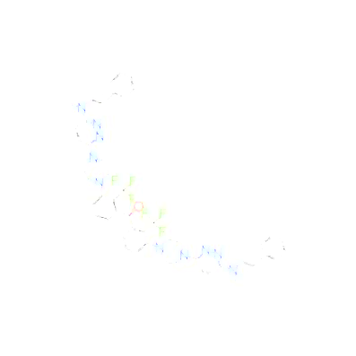 CN(C=Cc1ccccc1)c1ccc(N2CCN(c3cccc(C(=O)c4cccc(N5CCN(c6ccc(N(C)C=Cc7ccccc7)nn6)CC5)c4C(F)(F)F)c3C(F)(F)F)CC2)nn1